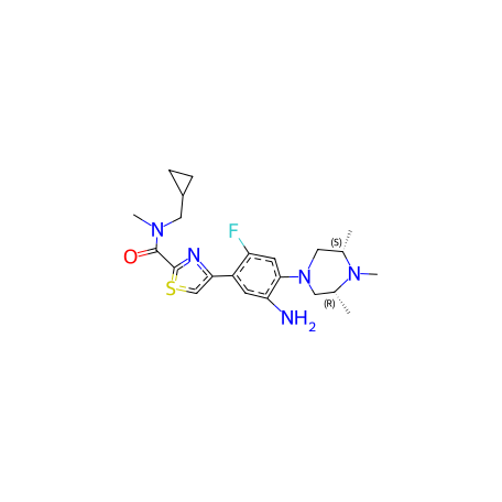 C[C@@H]1CN(c2cc(F)c(-c3csc(C(=O)N(C)CC4CC4)n3)cc2N)C[C@H](C)N1C